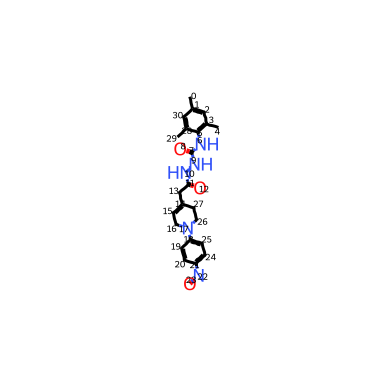 Cc1cc(C)c(NC(=O)NNC(=O)CC2=CCN(c3ccc(N=O)cc3)CC2)c(C)c1